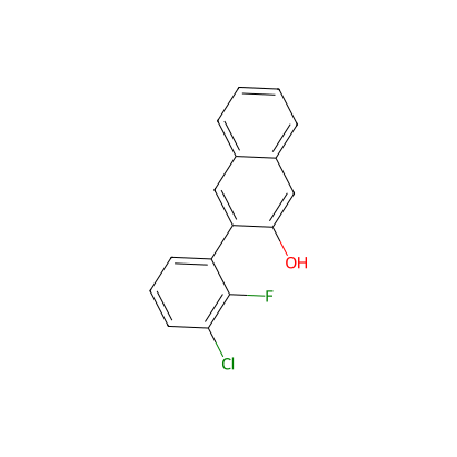 Oc1cc2ccccc2cc1-c1cccc(Cl)c1F